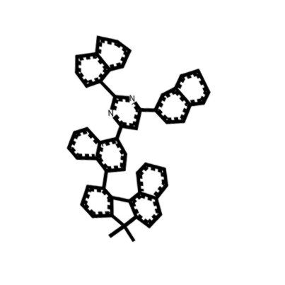 CC1(C)c2cccc(-c3ccc(-c4cc(-c5ccc6ccccc6c5)nc(-c5cccc6ccccc56)n4)c4ccccc34)c2-c2c1ccc1ccccc21